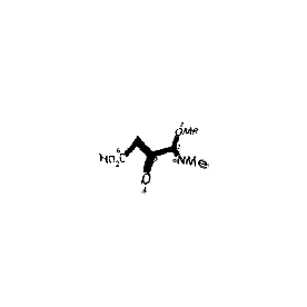 CNC(OC)C(=O)CC(=O)O